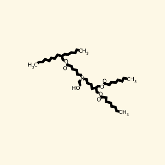 CCCCCCCCC(CCCCCC)COC(=O)CCCCCN(CCO)CCCCC(COC(=O)CCCCCCC)COC(=O)CCCCCCC